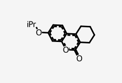 CC(C)Oc1ccc2c3c(c(=O)oc2c1)CCCC3